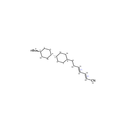 CCCC[C@H]1CC[C@H](C2CCC(CC/C=C/C=C/C#N)CC2)CC1